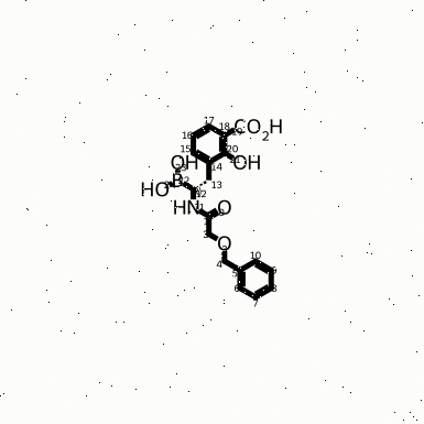 O=C(COCc1ccccc1)N[C@@H](Cc1cccc(C(=O)O)c1O)B(O)O